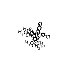 Cc1cc2c(cc1C(C)(C)C)-c1cc(C(C)(C)C)c(C)cc1[CH]2[Hf]([Cl])([Cl])(=[C](c1ccc(Cl)cc1)c1ccc(Cl)cc1)[CH]1C=CC=C1